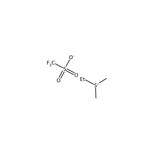 CC[S+](C)C.O=S(=O)([O-])C(F)(F)F